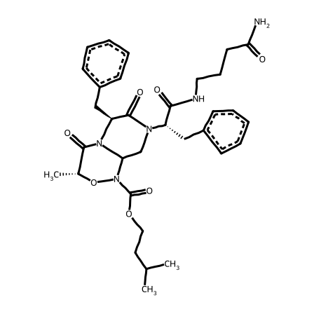 CC(C)CCOC(=O)N1O[C@H](C)C(=O)N2C1CN([C@@H](Cc1ccccc1)C(=O)NCCCC(N)=O)C(=O)[C@@H]2Cc1ccccc1